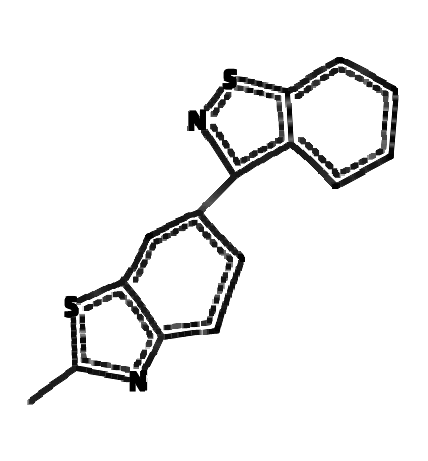 Cc1nc2ccc(-c3nsc4ccccc34)cc2s1